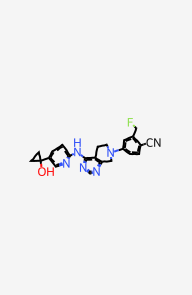 N#Cc1ccc(N2CCc3c(ncnc3Nc3ccc(C4(O)CC4)cn3)C2)cc1CF